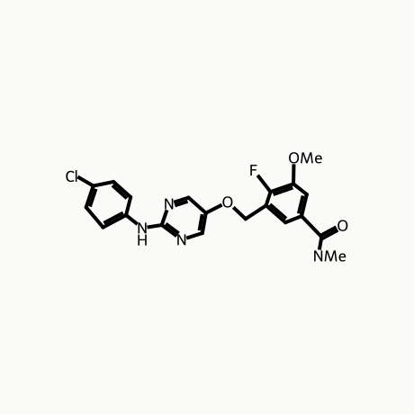 CNC(=O)c1cc(COc2cnc(Nc3ccc(Cl)cc3)nc2)c(F)c(OC)c1